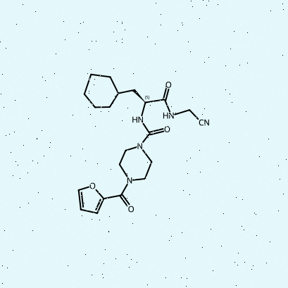 N#CCNC(=O)[C@H](CC1CCCCC1)NC(=O)N1CCN(C(=O)c2ccco2)CC1